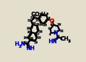 CC(=N)N1CCC(Oc2ccc(C(Cc3ccc4ccc(C(=N)N)cc4c3)C(=O)O)cc2)CC1